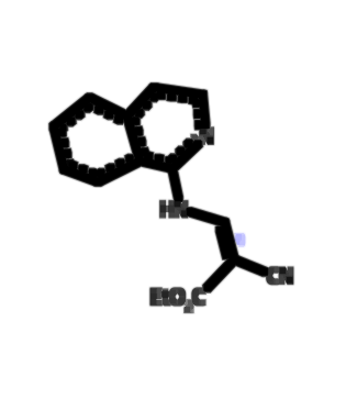 CCOC(=O)/C(C#N)=C\Nc1nccc2ccccc12